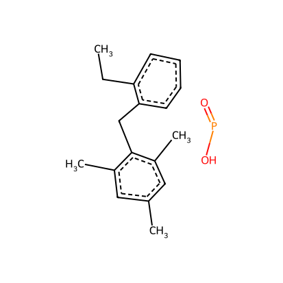 CCc1ccccc1Cc1c(C)cc(C)cc1C.O=PO